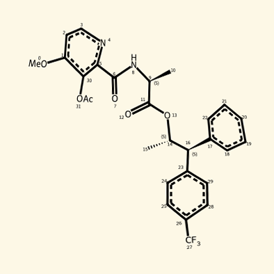 COc1ccnc(C(=O)N[C@@H](C)C(=O)O[C@@H](C)[C@@H](c2ccccc2)c2ccc(C(F)(F)F)cc2)c1OC(C)=O